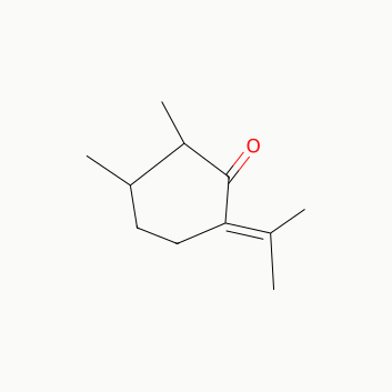 CC(C)=C1CCC(C)C(C)C1=O